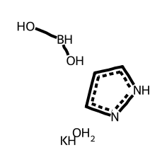 O.OBO.[KH].c1cn[nH]c1